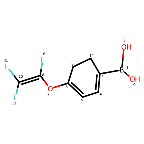 OB(O)C1=CC=C(OC(F)=C(F)F)CC1